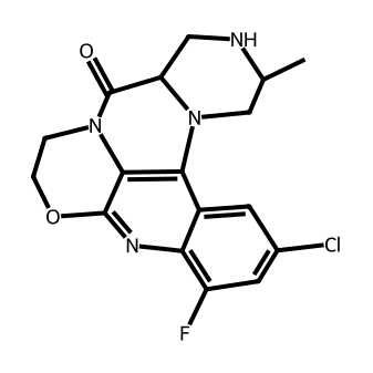 CC1CN2c3c4c(nc5c(F)cc(Cl)cc35)OCCN4C(=O)C2CN1